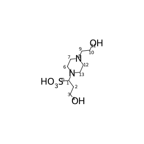 O=S(=O)(O)C(CCO)N1CCN(CCO)CC1